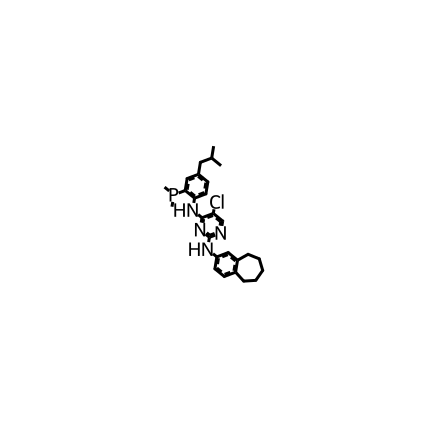 CC(C)Cc1ccc(Nc2nc(Nc3ccc4c(c3)CCCCC4)ncc2Cl)c(P(C)C)c1